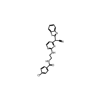 N#CC(c1ccnc(NCCNC(=O)c2ccc(Cl)cc2)n1)c1nc2ccccc2s1